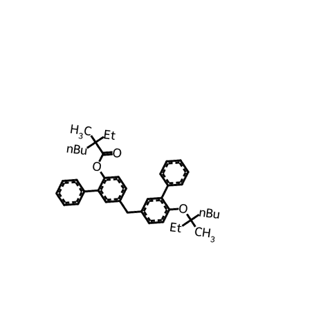 CCCCC(C)(CC)Oc1ccc(Cc2ccc(OC(=O)C(C)(CC)CCCC)c(-c3ccccc3)c2)cc1-c1ccccc1